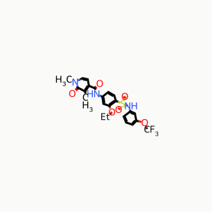 CCOc1cc(NC(=O)c2ccn(C)c(=O)c2C)ccc1S(=O)(=O)Nc1cccc(OC(F)(F)F)c1